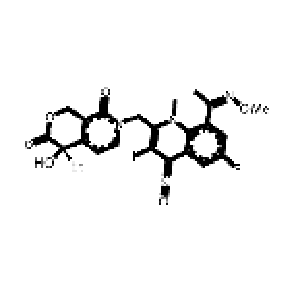 CC[C@@]1(O)C(=O)OCc2c1ccn(CC1=C(I)C(=C=O)c3cc(F)cc(/C(C)=N\OC)c3N1C)c2=O